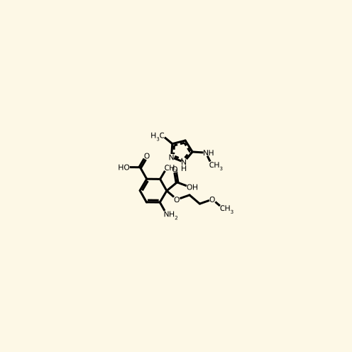 CNc1cc(C)n[nH]1.COCCOC1(C(=O)O)C(N)=CC=C(C(=O)O)C1C